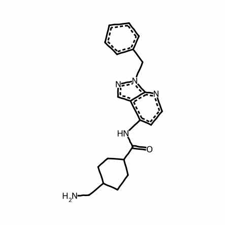 NCC1CCC(C(=O)Nc2ccnc3c2cnn3Cc2ccccc2)CC1